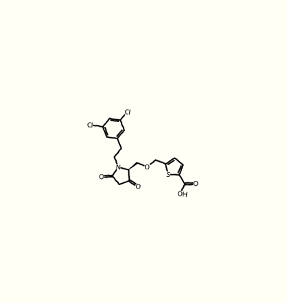 O=C(O)c1ccc(COC[C@H]2C(=O)CC(=O)N2CCc2cc(Cl)cc(Cl)c2)s1